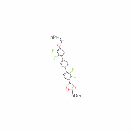 CCC/C=C\Oc1ccc(-c2ccc(-c3ccc(C4COC(CCCCCCCCCC)OC4)c(F)c3F)cc2)c(F)c1F